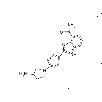 NC(=O)c1cccc2[nH]c(-c3ccc(N4CCC(N)C4)cc3)nc12